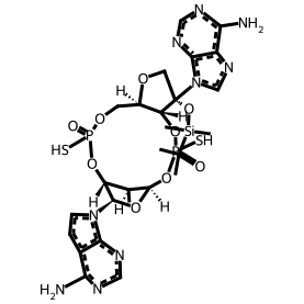 C[C@@H]1[C@@H]2O[C@@H](n3ccc4c(N)ncnc43)[C@@H]1OP(=O)(S)OC[C@H]1OC[C@@](O[Si](C)(C)C(C)(C)C)(n3cnc4c(N)ncnc43)[C@@H]1OP(=O)(S)O2